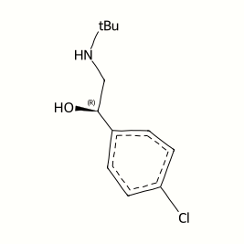 CC(C)(C)NC[C@H](O)c1ccc(Cl)cc1